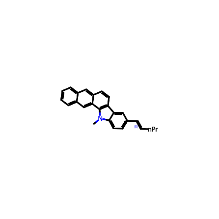 CCC/C=C/c1ccc2c(c1)c1ccc3cc4ccccc4cc3c1n2C